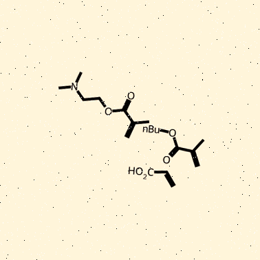 C=C(C)C(=O)OCCCC.C=C(C)C(=O)OCCN(C)C.C=CC(=O)O